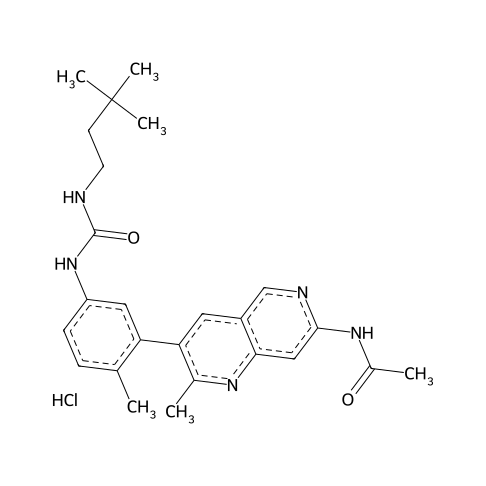 CC(=O)Nc1cc2nc(C)c(-c3cc(NC(=O)NCCC(C)(C)C)ccc3C)cc2cn1.Cl